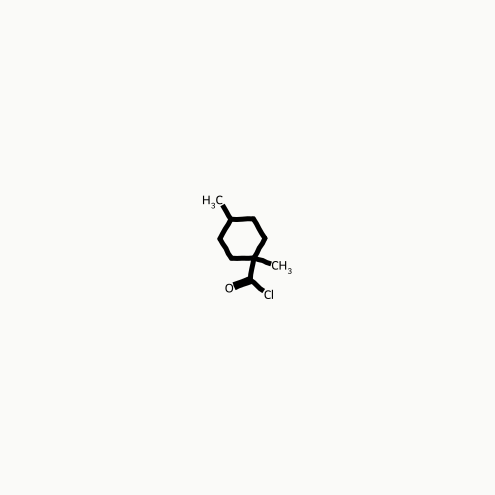 CC1CCC(C)(C(=O)Cl)CC1